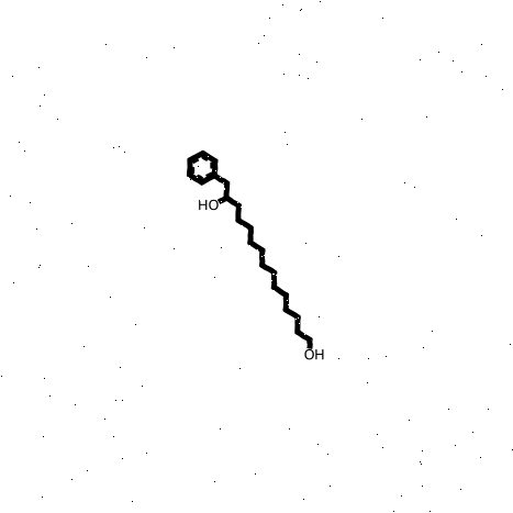 OCCCCCCCCCCCCCC(O)Cc1ccccc1